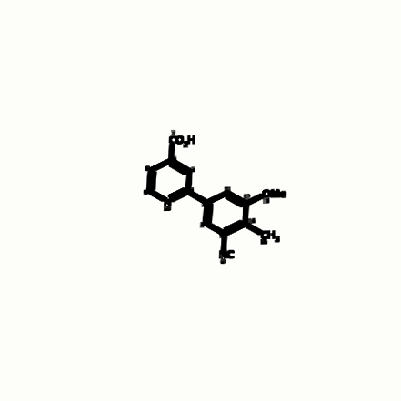 [C-]#[N+]c1cc(-c2cc(C(=O)O)ccn2)cc(OC)c1C